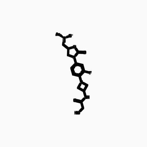 CC(=O)[N@@H+]([O-])CC1CN(c2ccc(N3CC(NC(=O)CO)C3)c(F)c2)C(=O)O1